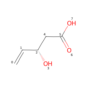 C=C[C@@H](O)CC(=O)O